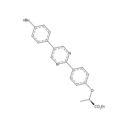 CCCCc1ccc(-c2cnc(-c3ccc(O[C@H](C)C(=O)OCC)cc3)nc2)cc1